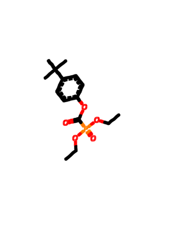 CCOP(=O)(OCC)C(=O)Oc1ccc(C(C)(C)C)cc1